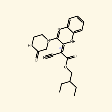 CCC(CC)COC(=O)/C(C#N)=C1\Nc2ccccc2N=C1N1CCNC(=O)C1